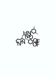 Cc1cc(C)cc(NC(=O)N2CCc3c4cccn(C)c-4nc3C2c2ccc3c(c2)OC(F)(F)O3)c1